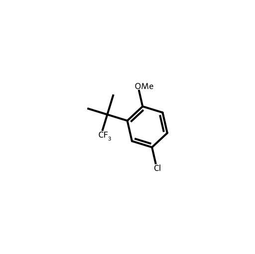 COc1ccc(Cl)cc1C(C)(C)C(F)(F)F